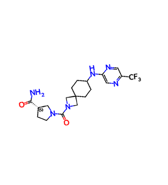 NC(=O)[C@H]1CCN(C(=O)N2CC3(CCC(Nc4cnc(C(F)(F)F)cn4)CC3)C2)C1